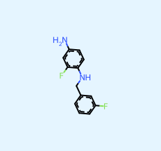 Nc1ccc(NCc2cccc(F)c2)c(F)c1